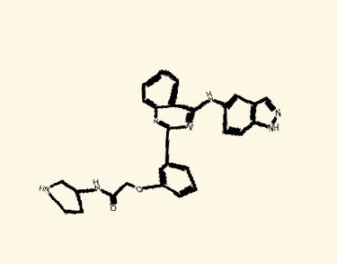 O=C(COc1cccc(-c2nc(Nc3ccc4[nH]ncc4c3)c3ccccc3n2)c1)NC1CCNC1